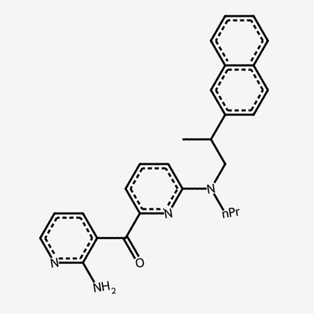 CCCN(CC(C)c1ccc2ccccc2c1)c1cccc(C(=O)c2cccnc2N)n1